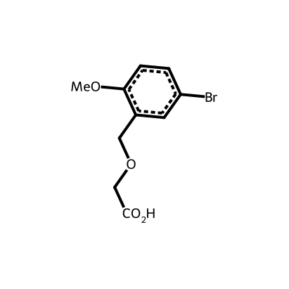 COc1ccc(Br)cc1COCC(=O)O